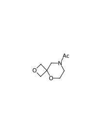 CC(=O)N1CCOC2(COC2)C1